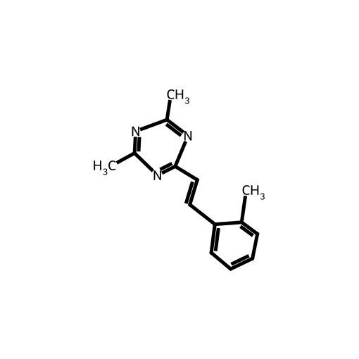 Cc1nc(C)nc(/C=C/c2ccccc2C)n1